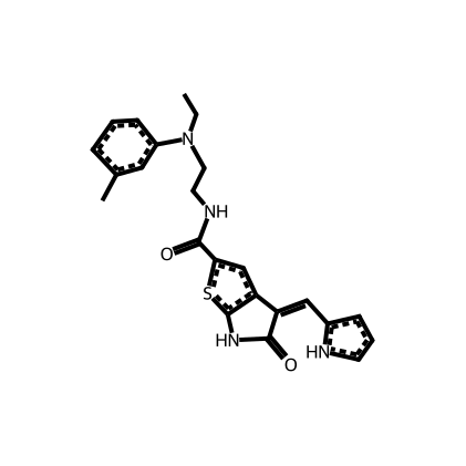 CCN(CCNC(=O)c1cc2c(s1)NC(=O)C2=Cc1ccc[nH]1)c1cccc(C)c1